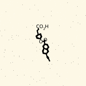 CC#Cc1ccc2cc(C(=O)Oc3ccc(CCC(=O)O)cc3)ccc2c1